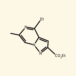 CCOC(=O)c1cc2c(CC)nc(C)cn2n1